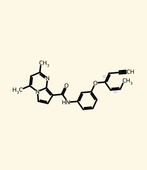 C#C/C=C(\C=C/C)Oc1cccc(NC(=O)c2ccn3c(C)cc(C)nc23)c1